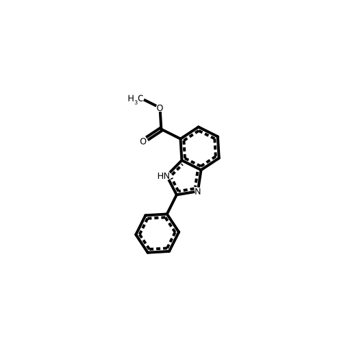 COC(=O)c1cccc2nc(-c3ccccc3)[nH]c12